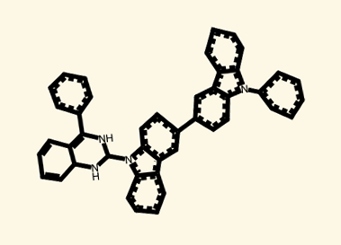 C1=CC2=C(c3ccccc3)NC(n3c4ccccc4c4cc(-c5ccc6c(c5)c5ccccc5n6-c5ccccc5)ccc43)NC2C=C1